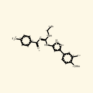 COc1ccc(-c2cc(N/C(=N\C(=O)c3ccc(C(F)(F)F)cc3)NCC(C)C)[nH]n2)cc1F